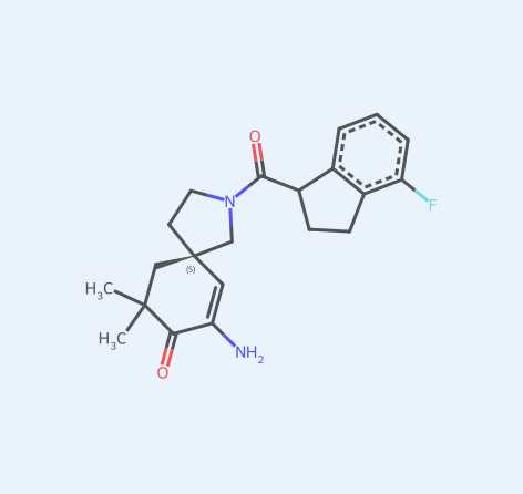 CC1(C)C[C@@]2(C=C(N)C1=O)CCN(C(=O)C1CCc3c(F)cccc31)C2